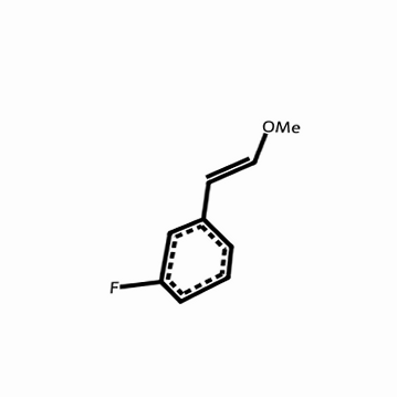 COC=Cc1cccc(F)c1